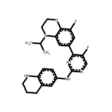 CC(C)N1CCOc2c(F)cc(-c3nc(Nc4ccc5c(c4)CCCN5)ncc3F)cc21